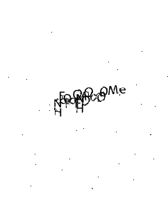 COC(=O)Cc1cccc(C2OCCC(NC(=O)c3cc(Oc4c(F)cc5[nH]ccc5c4F)ccc3F)C2=O)c1